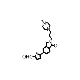 CN1CCN(CCCN2Cc3cc(-c4ccc(C=O)s4)ccc3C2=O)CC1